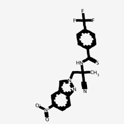 CC(C#N)(Cn1cc2cc([N+](=O)[O-])ccc2n1)NC(=S)c1ccc(C(F)(F)F)cc1